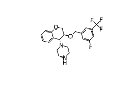 Fc1cc(CO[C@@H]2COc3ccccc3[C@H]2N2CCNCC2)cc(C(F)(F)F)c1